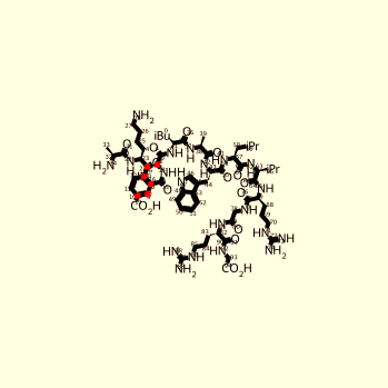 CC[C@H](C)[C@H](NC(=O)[C@H](Cc1ccccc1)NC(=O)[C@H](CCC(=O)O)NC(=O)[C@H](CCCCN)NC(=O)[C@H](C)N)C(=O)N[C@@H](C)C(=O)N[C@@H](Cc1c[nH]c2ccccc12)C(=O)N[C@@H](CC(C)C)C(=O)N[C@H](C(=O)N[C@@H](CCCNC(=N)N)C(=O)NCC(=O)N[C@@H](CCCNC(=N)N)C(=O)NCC(=O)O)C(C)C